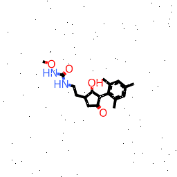 CONC(=O)NCCC1CC(=O)C(c2c(C)cc(C)cc2C)C1O